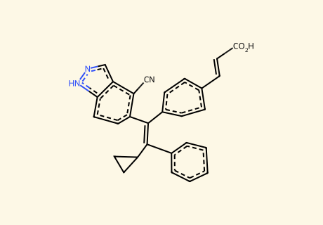 N#Cc1c(/C(=C(/c2ccccc2)C2CC2)c2ccc(/C=C/C(=O)O)cc2)ccc2[nH]ncc12